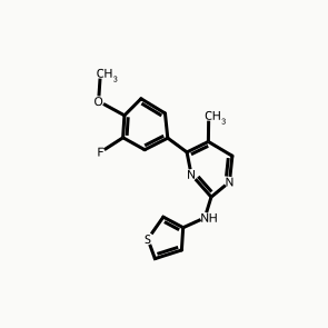 COc1ccc(-c2nc(Nc3ccsc3)ncc2C)cc1F